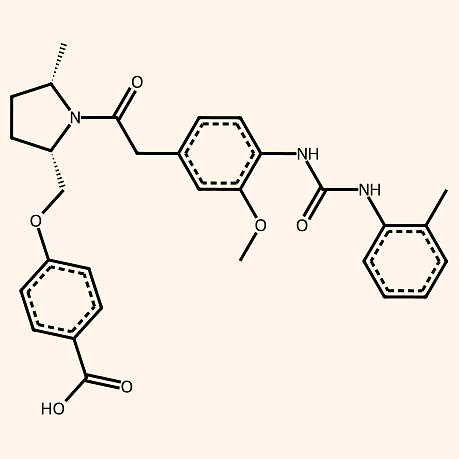 COc1cc(CC(=O)N2[C@H](COc3ccc(C(=O)O)cc3)CC[C@@H]2C)ccc1NC(=O)Nc1ccccc1C